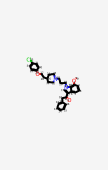 COc1cccc2c(C(=O)Cc3ccccc3)cn(CCCN3CCC(CCOc4ccc(Cl)cc4)CC3)c12